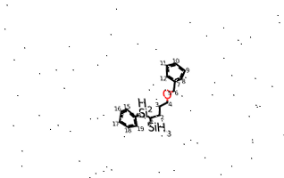 [SiH3]C(CCCOCc1ccccc1)[SiH2]c1ccccc1